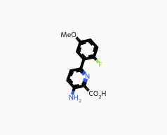 COc1ccc(F)c(-c2ccc(N)c(C(=O)O)n2)c1